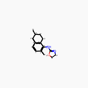 Cc1ccc2c(c1NC1=NCCO1)CCC(C)C2